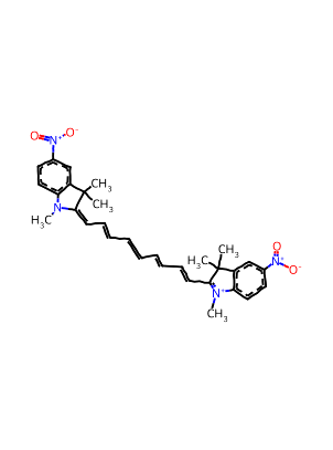 CN1/C(=C/C=C/C=C/C=C/C=C/C2=[N+](C)c3ccc([N+](=O)[O-])cc3C2(C)C)C(C)(C)c2cc([N+](=O)[O-])ccc21